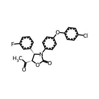 CC(=O)[C@H]1OC(=O)N(c2ccc(Oc3ccc(Cl)cc3)cc2)[C@H]1c1cccc(F)c1